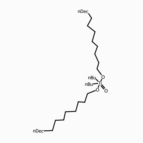 CCCCCCCCCCCCCCCCCC[O][Ti](=[O])([CH2]CCC)([CH2]CCC)[O]CCCCCCCCCCCCCCCCCC